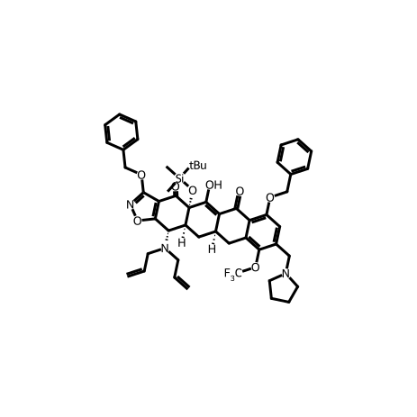 C=CCN(CC=C)[C@@H]1c2onc(OCc3ccccc3)c2C(=O)[C@@]2(O[Si](C)(C)C(C)(C)C)C(O)=C3C(=O)c4c(OCc5ccccc5)cc(CN5CCCC5)c(OC(F)(F)F)c4C[C@H]3C[C@@H]12